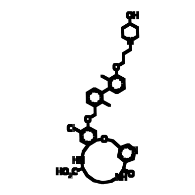 Cc1c(COc2cc3c(cc2Cl)CN[C@H](C(=O)O)CCCCNC(=O)c2cncc(c2)CO3)cccc1-c1cccc(OCCCN2CCC(O)CC2)c1C